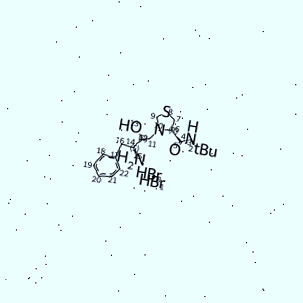 Br.Br.CC(C)(C)NC(=O)[C@@H]1CSCN1C[C@@H](O)[C@@H](N)Cc1ccccc1